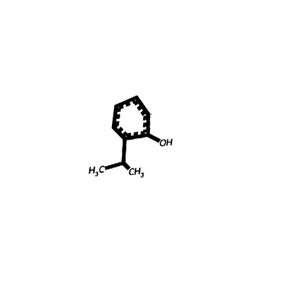 CC(C)c1ccc[c]c1O